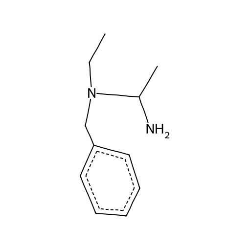 CCN(Cc1ccccc1)C(C)N